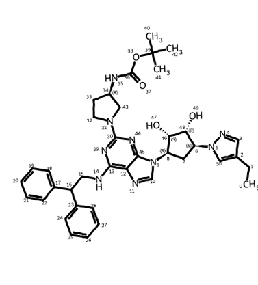 CCc1cnn([C@H]2C[C@@H](n3cnc4c(NCC(c5ccccc5)c5ccccc5)nc(N5CC[C@@H](NC(=O)OC(C)(C)C)C5)nc43)[C@H](O)[C@@H]2O)c1